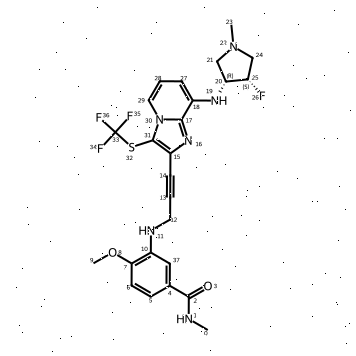 CNC(=O)c1ccc(OC)c(NCC#Cc2nc3c(N[C@@H]4CN(C)C[C@@H]4F)cccn3c2SC(F)(F)F)c1